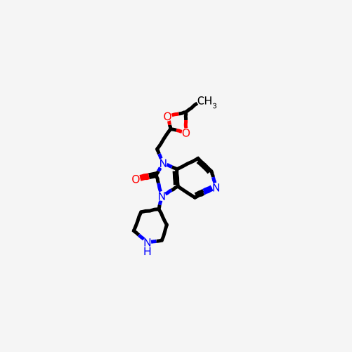 CC1OC(Cn2c(=O)n(C3CCNCC3)c3cnccc32)O1